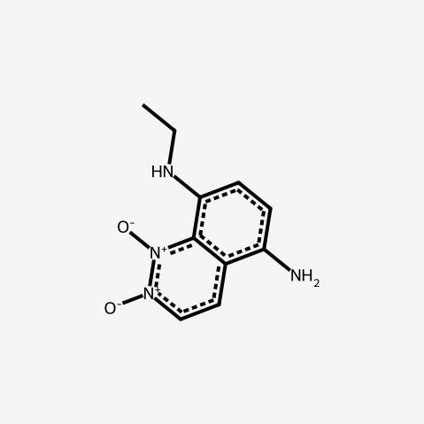 CCNc1ccc(N)c2cc[n+]([O-])[n+]([O-])c12